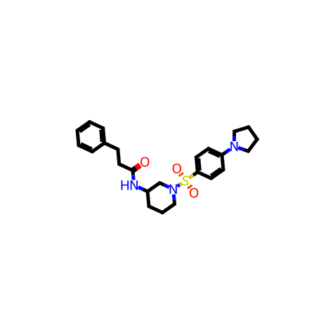 O=C(CCc1ccccc1)NC1CCCN(S(=O)(=O)c2ccc(N3CCCC3)cc2)C1